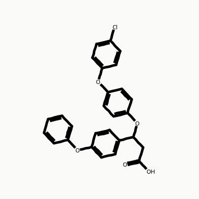 O=C(O)CC(Oc1ccc(Oc2ccc(Cl)cc2)cc1)c1ccc(Oc2ccccc2)cc1